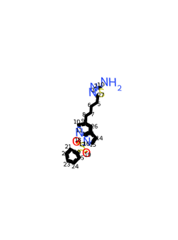 Nc1nnc(CCCCc2cnc3c(ccn3S(=O)(=O)c3ccccc3)c2)s1